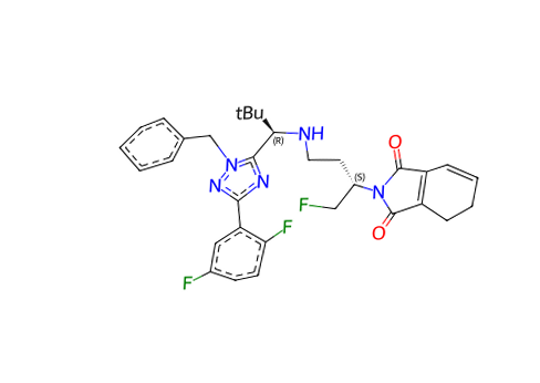 CC(C)(C)[C@@H](NCC[C@@H](CF)N1C(=O)C2=C(CCC=C2)C1=O)c1nc(-c2cc(F)ccc2F)nn1Cc1ccccc1